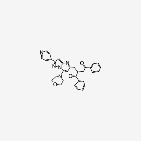 O=C(CC(Cc1cc(N2CCOCC2)n2nc(-c3ccncc3)cc2n1)C(=O)c1ccccc1)c1ccccc1